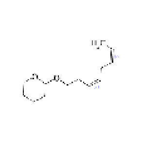 C/C=C\C/C=C\CCOC1CCCCO1